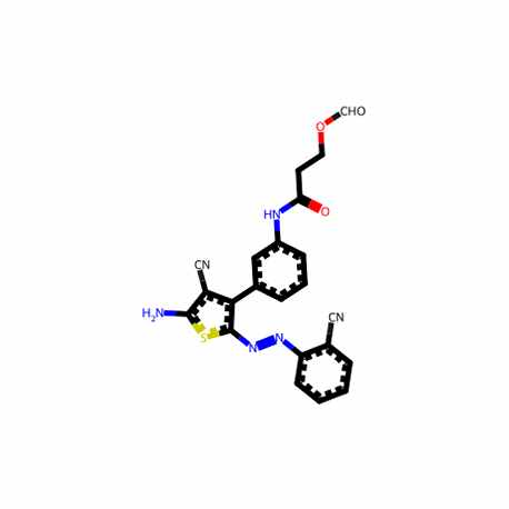 N#Cc1ccccc1N=Nc1sc(N)c(C#N)c1-c1cccc(NC(=O)CCOC=O)c1